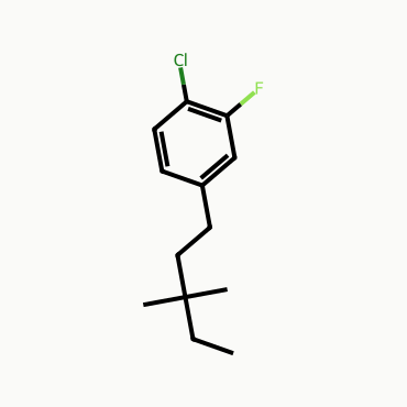 CCC(C)(C)CCc1ccc(Cl)c(F)c1